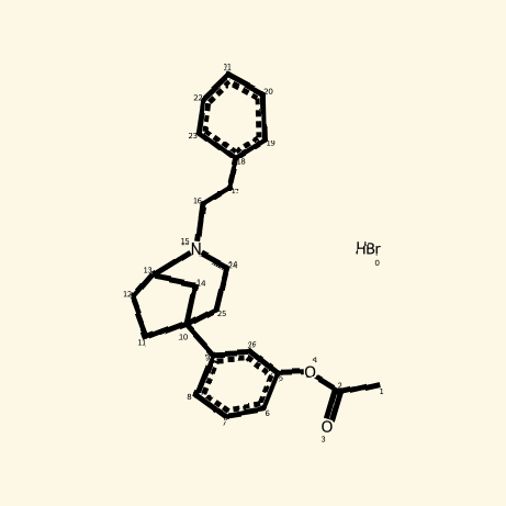 Br.CC(=O)Oc1cccc(C23CCC(C2)N(CCc2ccccc2)CC3)c1